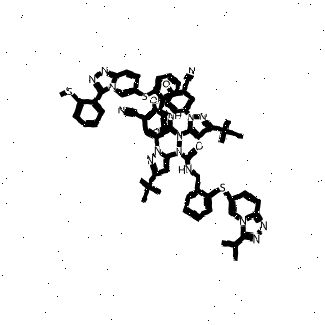 CSc1ccccc1-c1nnc2ccc(Sc3ccccc3CNC(=O)N(c3cc(C(C)(C)C)nn3-c3ccc(O)c(C#N)c3)N(C(=O)NCc3ccccc3Sc3ccc4nnc(C(C)C)n4c3)c3cc(C(C)(C)C)nn3-c3ccc(O)c(C#N)c3)cn12